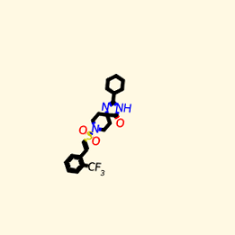 O=C1NC(C2CCCCC2)=NC12CCN(S(=O)(=O)C=Cc1ccccc1C(F)(F)F)CC2